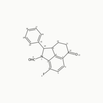 O=CN1c2c(F)ccc3c2C(CCC3=O)C1c1ccccc1